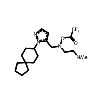 CNCCN(Cc1ccnn1C1CCC2(CCCC2)CC1)OC(=O)C(F)(F)F